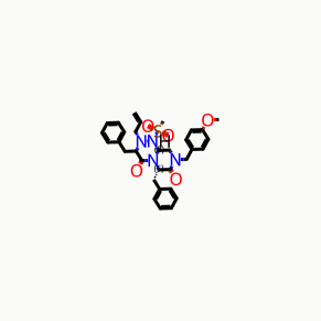 C=CCN1C(Cc2ccccc2)C(=O)N2[C@@H](Cc3ccccc3)C(=O)N(Cc3ccc(OC)cc3)C[C@@H]2N1S(C)(=O)=O